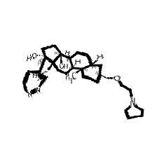 C[C@]12CC[C@H](OCCN3CCCC3)C[C@H]1CC[C@@H]1[C@@H]2CC[C@]2(C)[C@@](O)(c3ccnnc3)CC[C@]12O